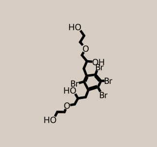 OCCOCC(O)Cc1c(Br)c(Br)c(Br)c(CC(O)COCCO)c1Br